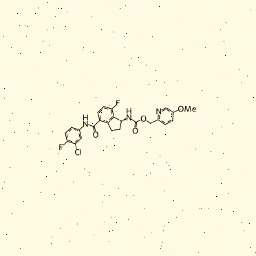 COc1ccc(COC(=O)N[C@H]2CCc3c(C(=O)Nc4ccc(F)c(Cl)c4)ccc(F)c32)nc1